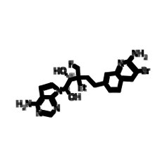 CCC(CF)(CCc1ccc2cc(Br)c(N)nc2c1)[C@@H](O)[C@@H](O)n1ccc2c(N)ncnc21